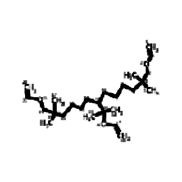 C=COCC(C)(C)CCCCC(CCCCC(C)(C)COC=C)C(C)(C)OC=C